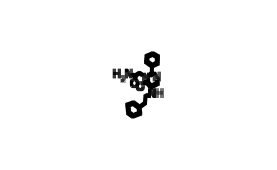 NC(=O)Cn1c(-c2ccccc2)ncc(NCCc2ccccc2)c1=O